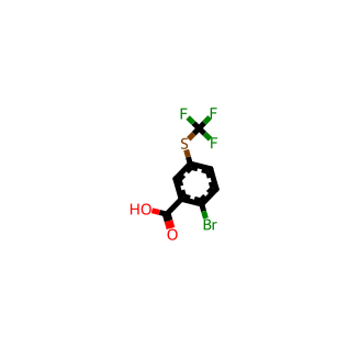 O=C(O)c1cc(SC(F)(F)F)ccc1Br